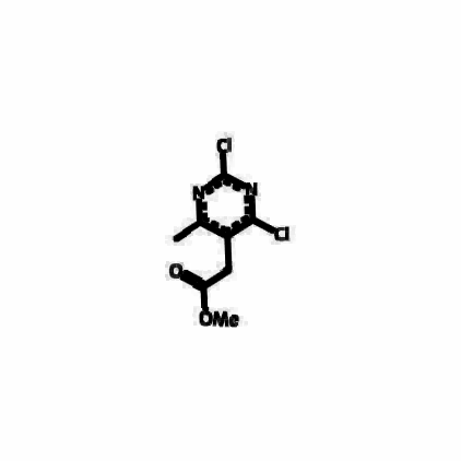 COC(=O)Cc1c(C)nc(Cl)nc1Cl